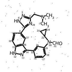 CN(C)Cc1n[nH]c(-c2ccc3[nH]nc(-c4cccc(N(C=O)C5CC5)c4)c3c2)n1